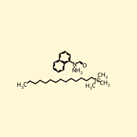 CCCCCCCCCCCCCC[N+](C)(C)C.NN(C=O)c1cccc2ccccc12